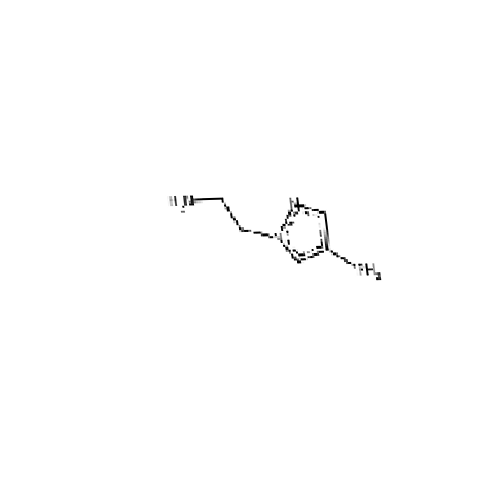 NCCn1cc(P)cn1